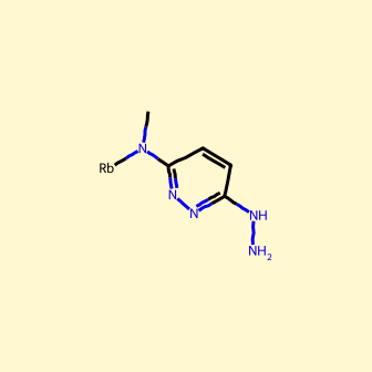 C[N]([Rb])c1ccc(NN)nn1